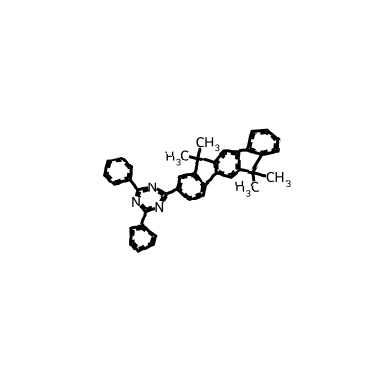 CC1(C)c2ccccc2-c2cc3c(cc21)-c1ccc(-c2nc(-c4ccccc4)nc(-c4ccccc4)n2)cc1C3(C)C